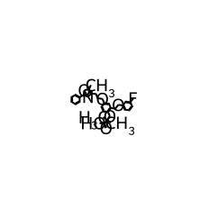 Cc1oc(-c2ccccc2)nc1CCOc1ccc(OC(C)(C)C(=O)O)c(COc2cccc(F)c2)c1